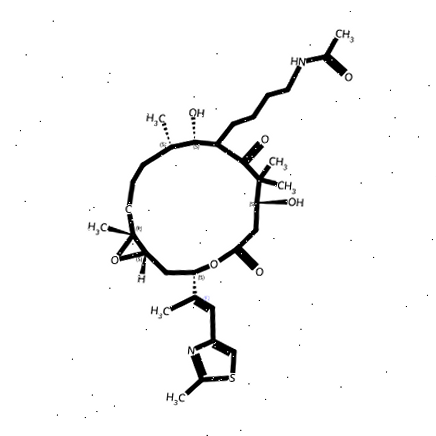 CC(=O)NCCCCC1C(=O)C(C)(C)[C@@H](O)CC(=O)O[C@H](/C(C)=C/c2csc(C)n2)C[C@@H]2O[C@]2(C)CCC[C@H](C)[C@@H]1O